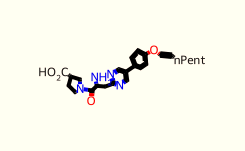 CCCCCC#COc1ccc(-c2cnc(CC(N)C(=O)N3CCC(C(=O)O)C3)nc2)cc1